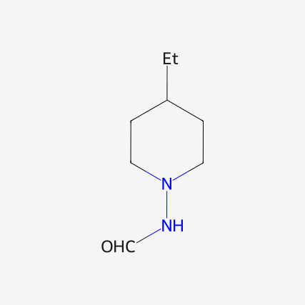 CCC1CCN(NC=O)CC1